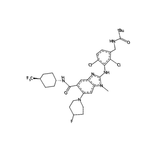 Cn1c(Nc2c(Cl)ccc(CNC(=O)C(C)(C)C)c2Cl)nc2cc(C(=O)N[C@H]3CC[C@H](C(F)(F)F)CC3)c(N3CCC(F)CC3)cc21